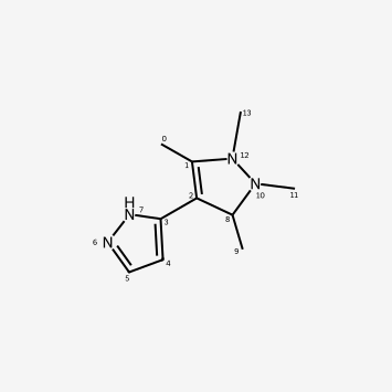 CC1=C(c2ccn[nH]2)C(C)N(C)N1C